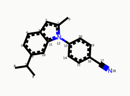 Cc1cc2ccc(C(C)C)cc2n1-c1ccc(C#N)cc1